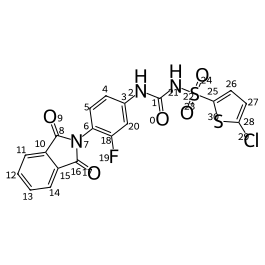 O=C(Nc1ccc(N2C(=O)c3ccccc3C2=O)c(F)c1)NS(=O)(=O)c1ccc(Cl)s1